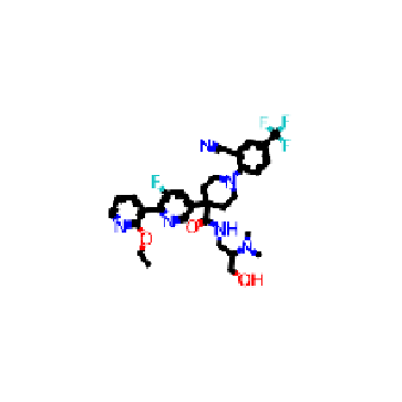 CCOc1ncccc1-c1ncc(C2(C(=O)NCC(CO)N(C)C)CCN(c3ccc(C(F)(F)F)cc3C#N)CC2)cc1F